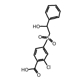 O=C(O)c1ccc(S(=O)(=O)CC(O)c2ccccc2)cc1Cl